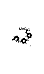 COC(=O)Cc1cccc(Oc2ccc(Oc3cccc(C)n3)cc2C(F)(F)F)c1